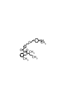 CCCC(C)N(C=O)Cc1c(C)cccc1NC(=O)C1CN(CCOCCN2CCC(NC)CC2)C1